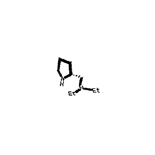 CCN(CC)C[C@H]1CCCN1